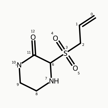 C=CCS(=O)(=O)C1NCC[N]C1=O